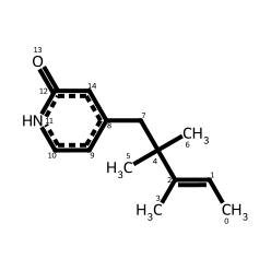 C/C=C(\C)C(C)(C)Cc1cc[nH]c(=O)c1